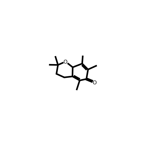 CC1=C(C)C2OC(C)(C)CCC2=C(C)C1=O